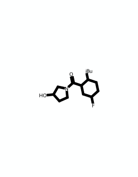 CCC(C)C1CCC(F)CC1C(=O)N1CCC(O)C1